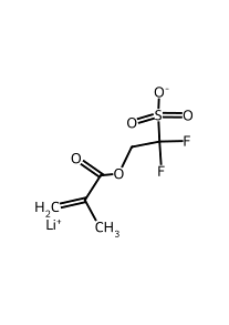 C=C(C)C(=O)OCC(F)(F)S(=O)(=O)[O-].[Li+]